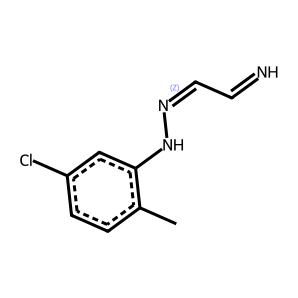 Cc1ccc(Cl)cc1N/N=C\C=N